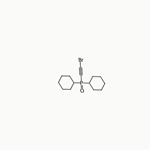 O=P(C#CBr)(C1CCCCC1)C1CCCCC1